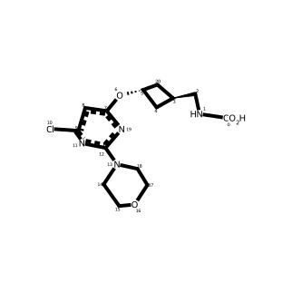 O=C(O)NC[C@H]1C[C@H](Oc2cc(Cl)nc(N3CCOCC3)n2)C1